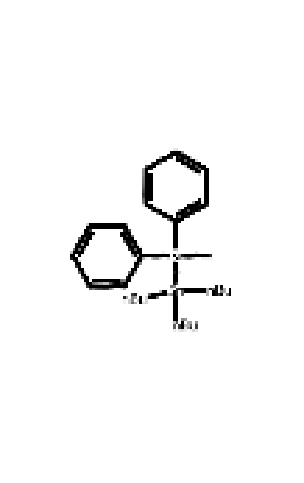 CCC[CH2][Sn]([CH2]CCC)([CH2]CCC)[Si](C)(c1ccccc1)c1ccccc1